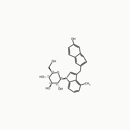 Cc1cccc2c1c(Cc1ccc3cc(O)ccc3c1)cn2[C@@H]1O[C@H](CO)[C@@H](O)[C@H](O)[C@H]1O